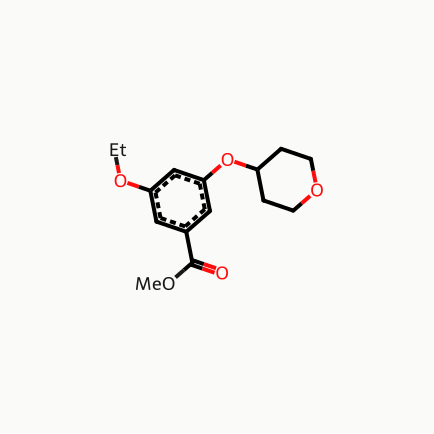 CCOc1cc(OC2CCOCC2)cc(C(=O)OC)c1